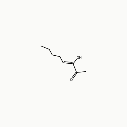 CCCCC=C(O)C(C)=O